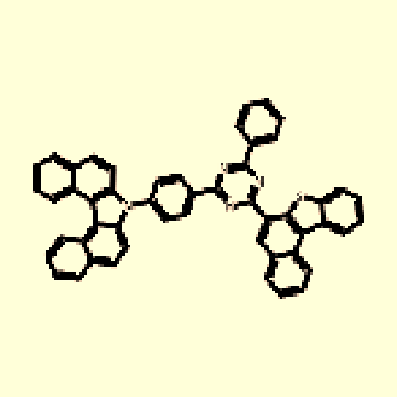 c1ccc(-c2nc(-c3ccc(-n4c5ccc6ccccc6c5c5c6ccccc6ccc54)cc3)nc(-c3cc4ccccc4c4c3sc3ccccc34)n2)cc1